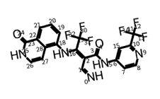 N=C/C(C(=O)Nc1ccnc(C(F)(F)F)c1)=C(\Nc1cccc2c(=O)[nH]ccc12)C(F)(F)F